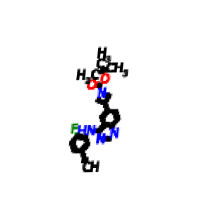 C#Cc1ccc(F)c(Nc2ncnc3ccc(C4CN(C(=O)OC(C)(C)C)C4)cc23)c1